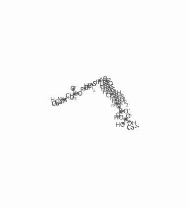 B#N.B#P.B=O.B=S.B=S.B=S.BCl.BF.BF.BF.BI.CCN.O=P(O)(O)O.[B].[Ca+2].[Ca+2].[Ca+2].[O-]B([O-])[O-].[O-]B([O-])[O-]